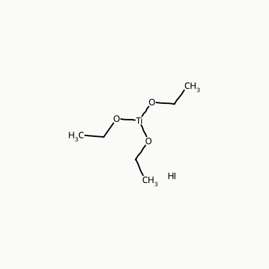 CC[O][Ti]([O]CC)[O]CC.I